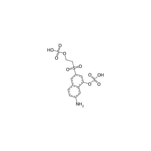 Nc1ccc2cc(S(=O)(=O)CCOS(=O)(=O)O)cc(OS(=O)(=O)O)c2c1